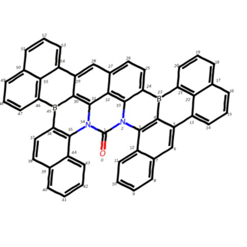 O=C1N2c3c4c(cc5ccccc35)-c3cccc5cccc(c35)B4c3ccc4cc5c6c(c4c32)N1c1c(ccc2ccccc12)B6c1cccc2cccc-5c12